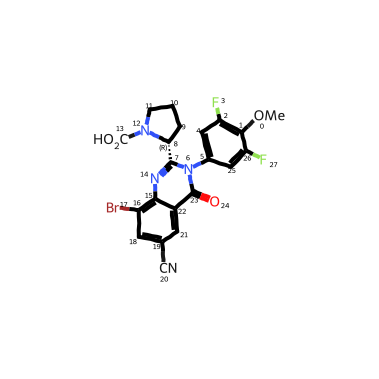 COc1c(F)cc(-n2c([C@H]3CCCN3C(=O)O)nc3c(Br)cc(C#N)cc3c2=O)cc1F